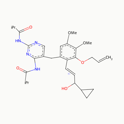 C=CCOc1c(/C=C/C(O)C2CC2)c(Cc2cnc(NC(=O)C(C)C)nc2NC(=O)C(C)C)cc(OC)c1OC